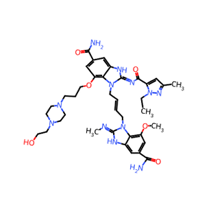 CCn1nc(C)cc1C(=O)/N=c1\[nH]c2cc(C(N)=O)cc(OCCCN3CCN(CCO)CC3)c2n1C/C=C/Cn1/c(=N/C)[nH]c2cc(C(N)=O)cc(OC)c21